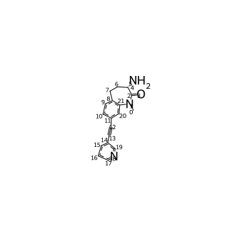 CN1C(=O)[C@@H](N)CCc2ccc(C#Cc3cccnc3)cc21